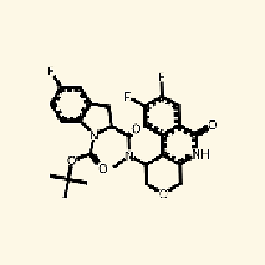 CN(C(=O)C1Cc2cc(F)ccc2N1C(=O)OC(C)(C)C)C1COCc2[nH]c(=O)c3cc(F)c(F)cc3c21